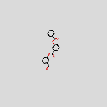 O=[C]C1=CCCC(OC(=O)c2cccc(OC(=O)C3=CCCC=C3)c2)=C1